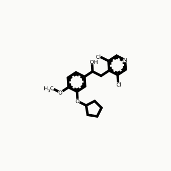 COc1ccc(C(O)Cc2c(Cl)cncc2Cl)cc1OC1CCCC1